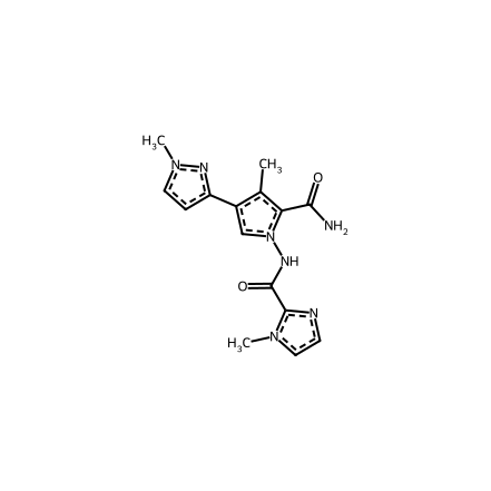 Cc1c(-c2ccn(C)n2)cn(NC(=O)c2nccn2C)c1C(N)=O